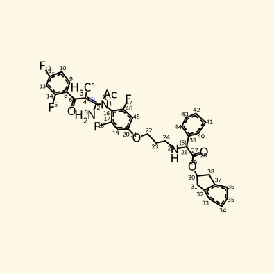 CC(=O)N(/C(N)=C(\C)C(=O)c1ccc(F)cc1F)c1c(F)cc(OCCCN[C@H](C(=O)OC2Cc3ccccc3C2)c2ccccc2)cc1F